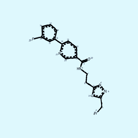 CC(C)Cc1nnc(CCNC(=O)c2ccc(-c3cccc(F)c3)nc2)o1